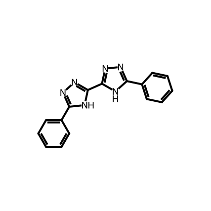 c1ccc(-c2nnc(-c3nnc(-c4ccccc4)[nH]3)[nH]2)cc1